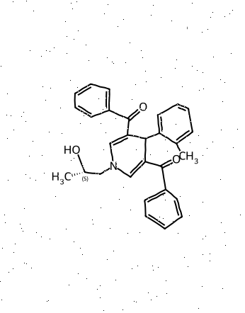 Cc1ccccc1C1C(C(=O)c2ccccc2)=CN(C[C@H](C)O)C=C1C(=O)c1ccccc1